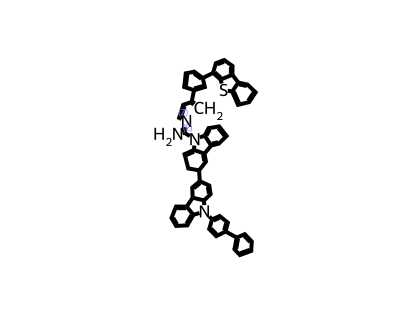 C=C(/C=C\N=C(/N)n1c2c(c3ccccc31)=CC(C1=CC3c4ccccc4N(c4ccc(-c5ccccc5)cc4)C3C=C1)CC=2)c1cccc(-c2cccc3c2sc2ccccc23)c1